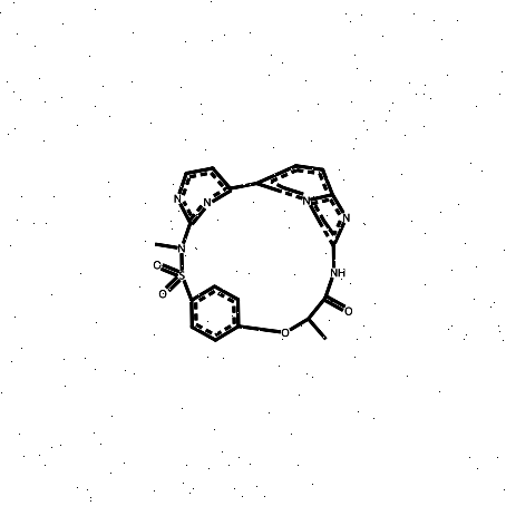 CC1Oc2ccc(cc2)S(=O)(=O)N(C)c2nccc(n2)-c2ccc3nc(cn3c2)NC1=O